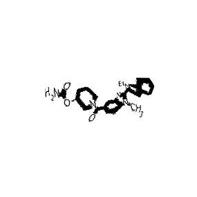 CCn1c(-c2nc3cc(C(=O)N4CCC[C@@H](OC(N)=O)C4)ccc3n2C)cc2ccccc21